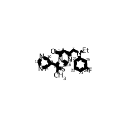 CCN(Cc1cc(=O)n2c(-c3cncnc3)c(C)sc2n1)c1cccc(F)c1